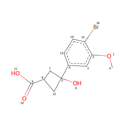 COc1cc(C2(O)CC(C(=O)O)C2)ccc1Br